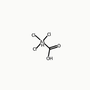 O=C(O)[AsH](Cl)(Cl)Cl